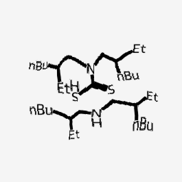 CCCCC(CC)CN(CC(CC)CCCC)C(=S)S.CCCCC(CC)CNCC(CC)CCCC